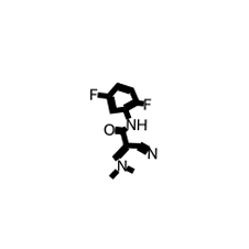 CN(C)C=C(C#N)C(=O)Nc1cc(F)ccc1F